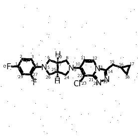 Fc1ccc(N2C[C@@H]3CN(c4ccn5c(CC6CC6)nnc5c4Cl)C[C@@H]3C2)c(F)c1